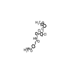 CNC(=O)c1ccc(/C=C/C(=O)NCc2cccn2-c2ccc(Cl)c(COc3cccc4oc(C)nc34)c2Cl)cc1